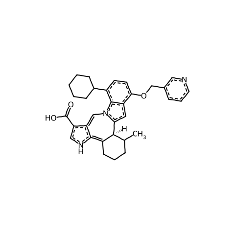 CC1CCCC2=c3[nH]cc(C(=O)O)c3=Cn3c(cc4c(OCc5cccnc5)ccc(C5CCCCC5)c43)[C@H]21